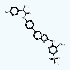 COc1cc(S(C)(=O)=O)cnc1Nc1cn2cc(-c3ccc(NC(=O)[C@H](C)c4ccc(F)cc4)cc3)ccc2n1